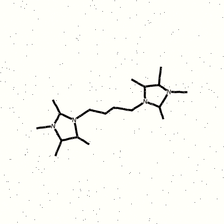 CC1C(C)N(CCCCN2C(C)C(C)N(C)C2C)C(C)N1C